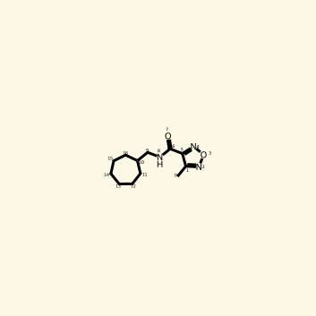 Cc1nonc1C(=O)NCC1CCCCCC1